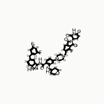 O=C1CCC(N2C(=O)c3ccc(CN4CCN(c5ccc(C(=O)Nc6n[nH]c7ccc(Cc8cc(F)cc(F)c8)cc67)c(NC6CCOCC6)c5)CC4)c(F)c3C2=O)C(=O)N1